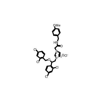 COc1ccc(CNC(=O)Cn2cc[n+](CC(OCc3ccc(Cl)cc3Cl)c3ccc(Cl)cc3Cl)c2)cc1.O.[Cl-]